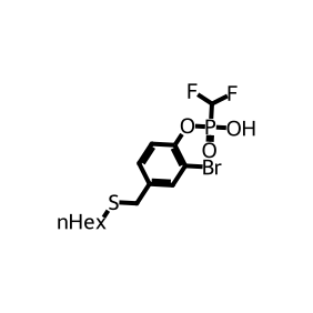 CCCCCCSCc1ccc(OP(=O)(O)C(F)F)c(Br)c1